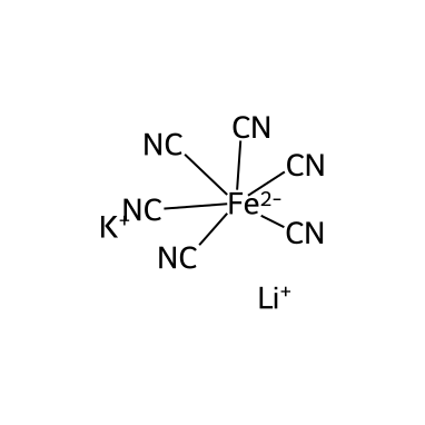 N#[C][Fe-2]([C]#N)([C]#N)([C]#N)([C]#N)[C]#N.[K+].[Li+]